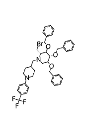 FC(F)(F)c1ccc(N2CCC(CN3C[C@H](OCc4ccccc4)[C@@H](OCc4ccccc4)[C@H](OCc4ccccc4)[C@H]3CBr)CC2)cc1